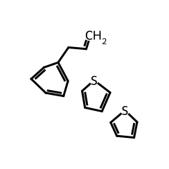 C=CCc1ccccc1.c1ccsc1.c1ccsc1